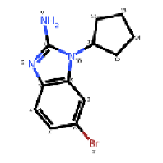 Nc1nc2ccc(Br)cc2n1C1CCCC1